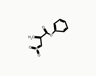 C=C(C=S(=O)=O)C(=O)Oc1ccccc1